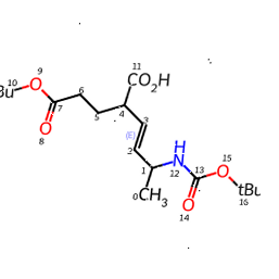 CC(/C=C/C(CCC(=O)OC(C)(C)C)C(=O)O)NC(=O)OC(C)(C)C